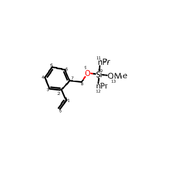 C=Cc1ccccc1CO[Si](CCC)(CCC)OC